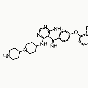 N=C(c1ccc(Oc2ccccc2F)cc1)c1c(N)ncnc1NC1CCN(C2CCNCC2)CC1